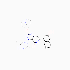 CC[C@@H]1CN2c3nc(OC[C@@]45CCCN4C[C@H](F)C5)nc4c(F)c(-c5cc(O)cc6ccc(F)cc56)nc(c34)OC[C@H]2CN1